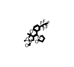 CON(C=O)CC1=C(N2CCCC2=O)c2cc(C(F)(F)C(F)(F)F)ccc2OC1(C)C